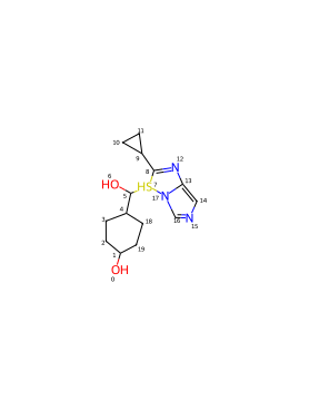 OC1CCC(C(O)[SH]2C(C3CC3)=Nc3cncn32)CC1